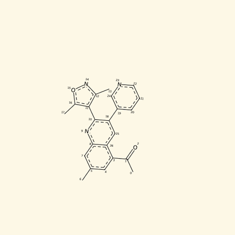 CC(=O)c1cc(C)cc2nc(-c3c(C)noc3C)c(-c3cccnc3)cc12